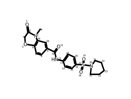 CN1C(=O)COc2ccc(C(=O)Nc3ccc(S(=O)(=O)N4CCCCC4)cc3)cc21